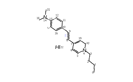 CCCCN1C=CC(/C=C/c2ccc(N(C)C)cc2)=CC1.I